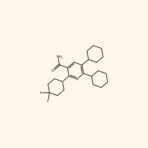 NC(=O)c1cc(C2CCCCC2)c(C2CCCCC2)nc1N1CCC(F)(F)CC1